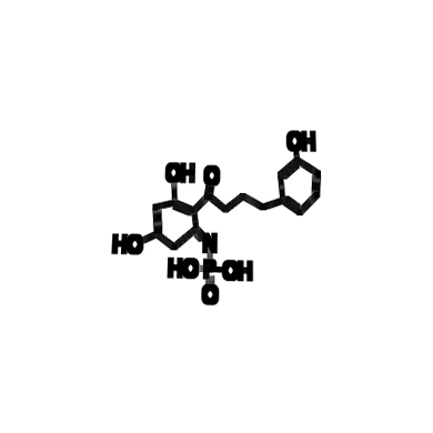 O=C(CCCc1cccc(O)c1)C1=C(O)C=C(O)CC1=NP(=O)(O)O